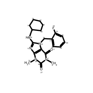 Cn1c(=O)c2c(nc(NC3CCCCC3)n2Cc2ccccc2F)n(C)c1=O